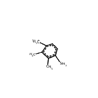 Cc1c[c]c([SiH3])c(C)c1C